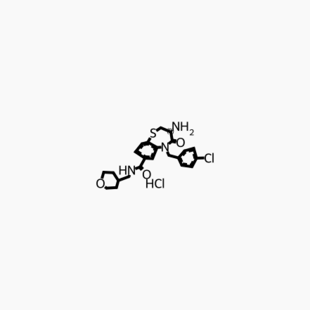 Cl.N[C@H]1CSc2ccc(C(=O)NCC3CCOCC3)cc2N(Cc2ccc(Cl)cc2)C1=O